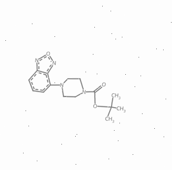 CC(C)(C)OC(=O)N1CCN(c2cccc3nonc23)CC1